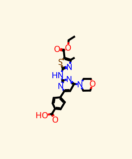 CCOC(=O)c1sc(Nc2nc(-c3ccc(C(=O)O)cc3)cc(N3CCOCC3)n2)nc1C